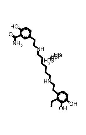 Br.Br.Br.CCc1c(CCNCCCCCCNCCc2ccc(O)c(C(N)=O)c2)ccc(O)c1O.O